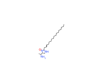 CCCCCCCCCCCCCCC=CCC1=[N+]([O-])C(C(C)N)CN1